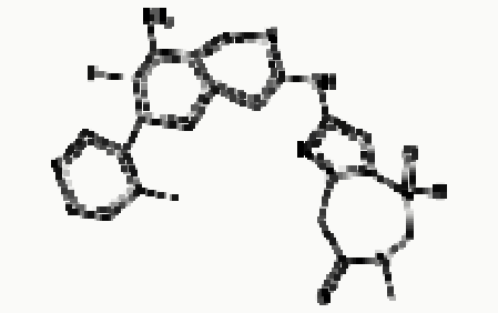 Cc1ccncc1-c1cc2cc(Nc3cc4n(n3)CC(=O)N(C)CS4(=O)=O)ncc2c(N)c1F